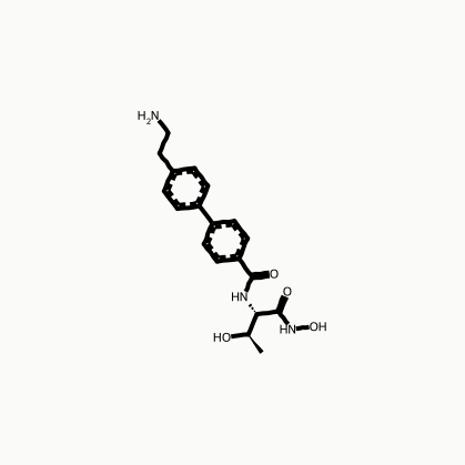 C[C@@H](O)[C@H](NC(=O)c1ccc(-c2ccc(CCN)cc2)cc1)C(=O)NO